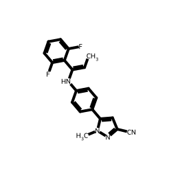 CC=C(Nc1ccc(-c2cc(C#N)nn2C)cc1)c1c(F)cccc1F